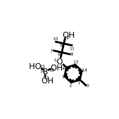 Cc1ccc(OC(C)(C)C(C)(C)O)cc1.OB(O)O